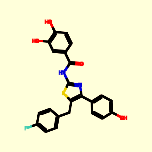 O=C(Nc1nc(-c2ccc(O)cc2)c(Cc2ccc(F)cc2)s1)c1ccc(O)c(O)c1